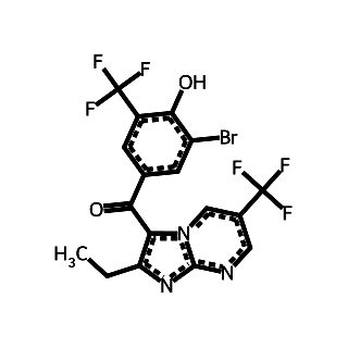 CCc1nc2ncc(C(F)(F)F)cn2c1C(=O)c1cc(Br)c(O)c(C(F)(F)F)c1